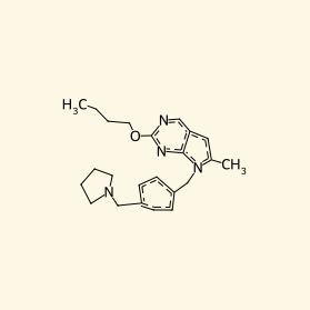 CCCCOc1ncc2cc(C)n(Cc3ccc(CN4CCCC4)cc3)c2n1